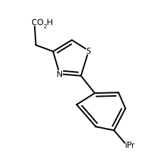 CC(C)c1ccc(-c2nc(CC(=O)O)cs2)cc1